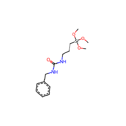 CO[Si](CCCNC(=O)NCc1ccccc1)(OC)OC